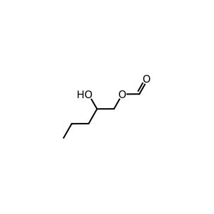 CCCC(O)COC=O